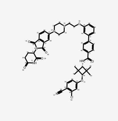 CC1(C)[C@H](NC(=O)c2ccc(-c3cccc(OCCN4CCN(c5ccc6c(c5)C(=O)N(C5CCC(=O)NC5=O)C6=O)CC4)c3)cc2)C(C)(C)[C@H]1Oc1ccc(C#N)c(Cl)c1